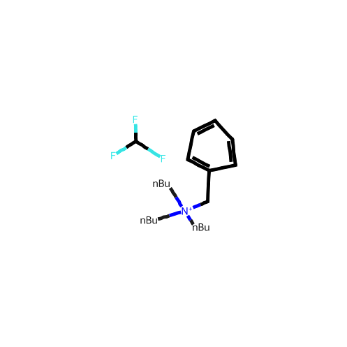 CCCC[N+](CCCC)(CCCC)Cc1ccccc1.FC(F)F